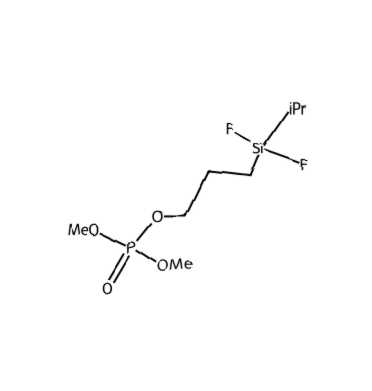 COP(=O)(OC)OCCC[Si](F)(F)C(C)C